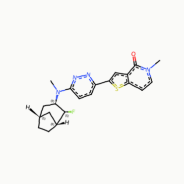 CN(c1ccc(-c2cc3c(=O)n(C)ccc3s2)nn1)[C@@H]1C[C@H]2CC[C@H](C2)[C@@H]1F